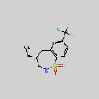 CC[C@@H]1CNS(=O)(=O)c2ccc(C(F)(F)F)cc2C1